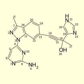 Cc1nn(-c2ccnc(N)n2)c2cc(C#CC(C)(O)c3c[nH]cn3)ccc12